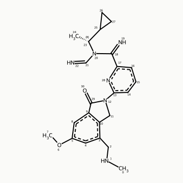 CNCc1cc(OC)cc2c1CN(c1cccc(C(=N)N(C=N)[C@H](C)C3CC3)n1)C2=O